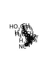 CC(C)C1=C2[C@H]3CCC4[C@@]5(C)CC[C@H](OC(=O)CC(C)(C)C(=O)O)C(C)(C)C5CC[C@@]4(C)[C@]3(C)CC[C@@]2(c2nnc(-c3ccc(C#N)cn3)n2C)CC1=O